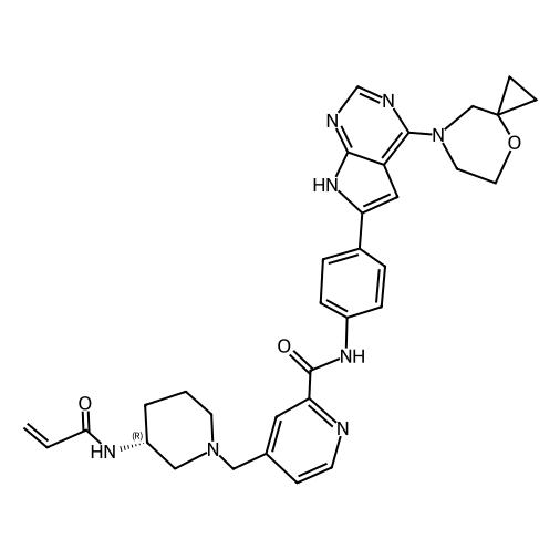 C=CC(=O)N[C@@H]1CCCN(Cc2ccnc(C(=O)Nc3ccc(-c4cc5c(N6CCOC7(CC7)C6)ncnc5[nH]4)cc3)c2)C1